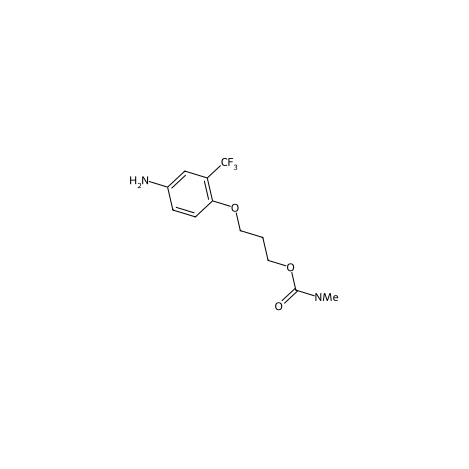 CNC(=O)OCCCOc1ccc(N)cc1C(F)(F)F